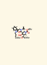 COCCCN1C=C(CN(C(=O)[C@H]2CN(C(=O)OC(C)(C)C)C[C@@H](C(=O)OC)[C@H]2O)C2CC2)C2C=CC=CC21